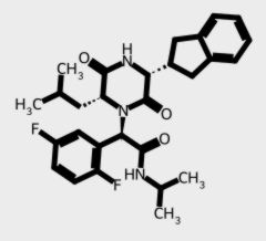 CC(C)C[C@@H]1C(=O)N[C@H](C2Cc3ccccc3C2)C(=O)N1[C@@H](C(=O)NC(C)C)c1cc(F)ccc1F